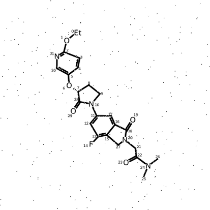 CCOc1ccc(O[C@@H]2CCN(c3cc(F)c4c(c3)C(=O)N(CC(=O)N(C)C)C4)C2=O)cn1